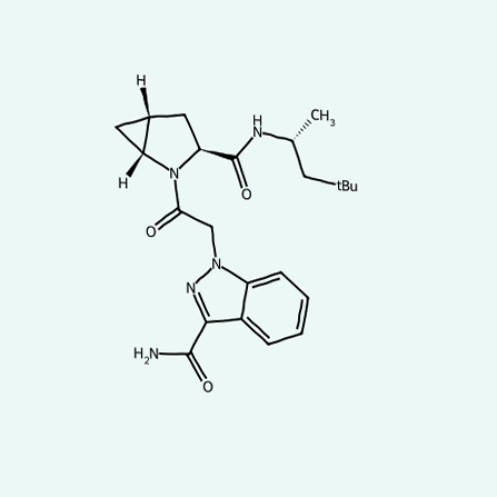 C[C@H](CC(C)(C)C)NC(=O)[C@@H]1C[C@H]2C[C@H]2N1C(=O)Cn1nc(C(N)=O)c2ccccc21